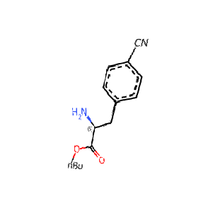 CCCCOC(=O)[C@@H](N)Cc1ccc(C#N)cc1